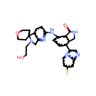 O=C1NCc2c(-c3cnc4cc(F)ccn34)ccc(Nc3ccc4c(n3)CN(CCO)C43CCOCC3)c21